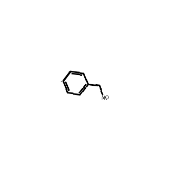 O=NCc1cc[c]cc1